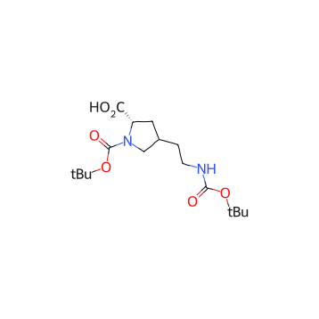 CC(C)(C)OC(=O)NCCC1C[C@@H](C(=O)O)N(C(=O)OC(C)(C)C)C1